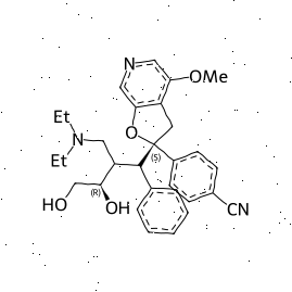 CCN(CC)CC(C(c1ccccc1)[C@]1(c2ccc(C#N)cc2)Cc2c(OC)cncc2O1)[C@@H](O)CO